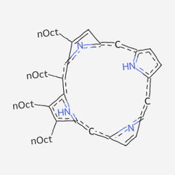 CCCCCCCCC1=Cc2cc3ccc(cc4nc(cc5[nH]c(c(CCCCCCCC)c1n2)c(CCCCCCCC)c5CCCCCCCC)C=C4)[nH]3